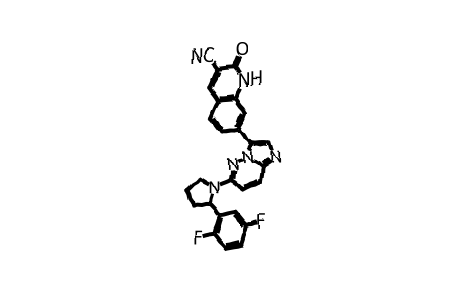 N#Cc1cc2ccc(-c3cnc4ccc(N5CCCC5c5cc(F)ccc5F)nn34)cc2[nH]c1=O